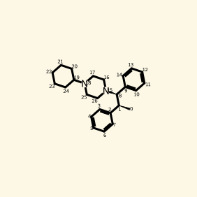 C[C@@H](c1ccccc1)[C@H](c1ccccc1)N1CCN(C2CCCCC2)CC1